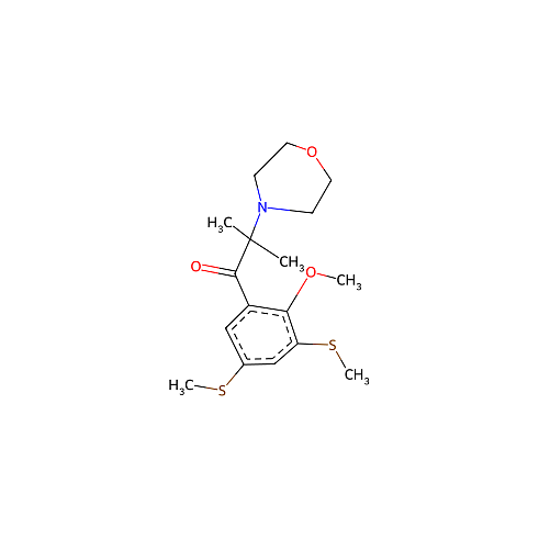 COc1c(SC)cc(SC)cc1C(=O)C(C)(C)N1CCOCC1